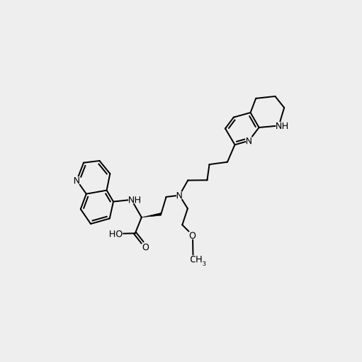 COCCN(CCCCc1ccc2c(n1)NCCC2)CC[C@H](Nc1cccc2ncccc12)C(=O)O